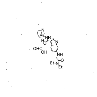 CCN(CC)C(=O)CNc1ccc2c(C(=O)N[C@@H]3CN4CCC3CC4)snc2c1.O=CO